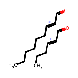 CCC/C=C/C=O.CCCCCC/C=C/C=O